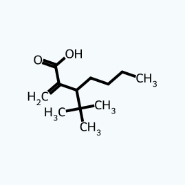 C=C(C(=O)O)C(CCCC)C(C)(C)C